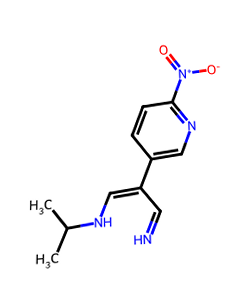 CC(C)N/C=C(\C=N)c1ccc([N+](=O)[O-])nc1